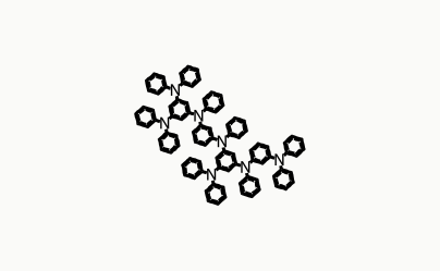 c1ccc(N(c2ccccc2)c2cccc(N(c3ccccc3)c3cc(N(c4ccccc4)c4ccccc4)cc(N(c4ccccc4)c4cccc(N(c5ccccc5)c5cc(N(c6ccccc6)c6ccccc6)cc(N(c6ccccc6)c6ccccc6)c5)c4)c3)c2)cc1